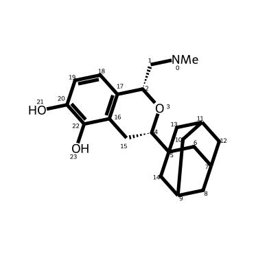 CNC[C@@H]1O[C@H](C23CC4CC(CC(C4)C2)C3)Cc2c1ccc(O)c2O